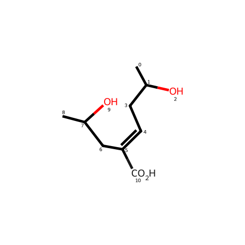 CC(O)CC=C(CC(C)O)C(=O)O